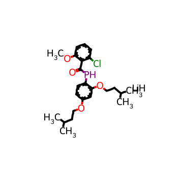 COc1cccc(Cl)c1C(=O)Pc1ccc(OCCC(C)C)cc1OCCC(C)C.[LiH]